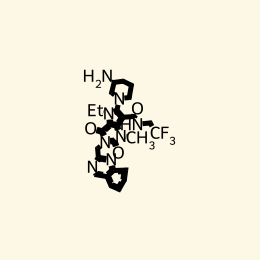 CCn1c(N2CCC[C@@H](N)C2)c(C(=O)NCC(F)(F)F)c2c1c(=O)n(Cc1ncc3ccccc3n1)c(=O)n2C